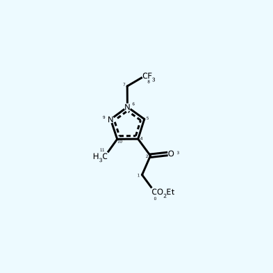 CCOC(=O)CC(=O)c1cn(CC(F)(F)F)nc1C